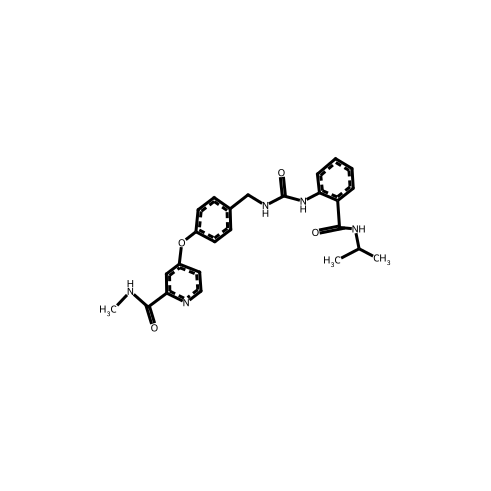 CNC(=O)c1cc(Oc2ccc(CNC(=O)Nc3ccccc3C(=O)NC(C)C)cc2)ccn1